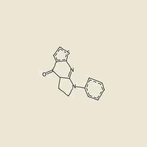 O=C1c2ccsc2N=C2C1CCN2c1ccccc1